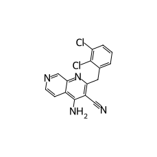 N#Cc1c(Cc2cccc(Cl)c2Cl)nc2cnccc2c1N